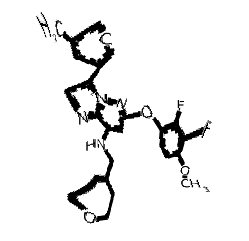 COc1ccc(Oc2cc(NCC3CCOCC3)c3ncc(-c4cccc(C)c4)n3n2)c(F)c1F